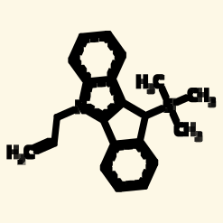 C=CCn1c2c(c3ccccc31)C([Si](C)(C)C)c1ccccc1-2